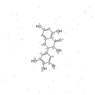 O=C1c2c(O)cc(O)cc2OC(c2cc(O)c(O)c(Br)c2)C1O